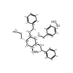 CCO.CO[C@H]1O[C@H](CCO)[C@@H](OCc2ccccc2)[C@H](OCc2ccccc2)[C@H]1OCc1ccccc1